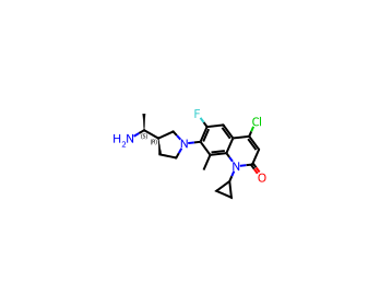 Cc1c(N2CC[C@@H]([C@H](C)N)C2)c(F)cc2c(Cl)cc(=O)n(C3CC3)c12